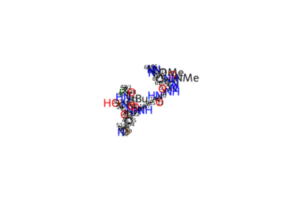 CNC(=O)c1nnc(NC(=O)CNC(=O)CCCCCNC(=O)C[C@H](NC(=O)[C@@H]2C[C@@H](O)CN2C(=O)[C@@H](NC(=O)C2(F)CC2)C(C)(C)C)c2ccc(-c3scnc3C)cc2)cc1Nc1cccc(-c2ncn(C)n2)c1OC